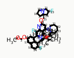 COCOc1cc(-c2nc3c4c(cc(OC[C@@]56CCCN5C[C@H](F)C6)nc4c2F)N2CCCCCC2CO3)c2c(C#C[Si](C(C)C)(C(C)C)C(C)C)c(F)ccc2c1